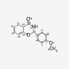 COc1ccc(C2NC(=O)C3CC=CC=C3O2)cc1